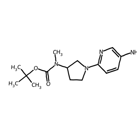 CN(C(=O)OC(C)(C)C)C1CCN(c2ccc(N)cn2)C1